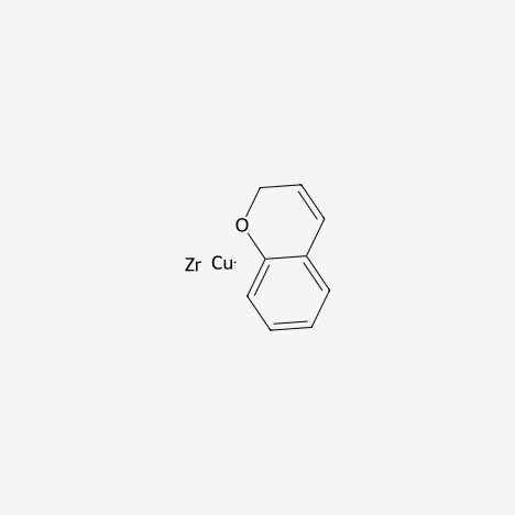 C1=Cc2ccccc2OC1.[Cu].[Zr]